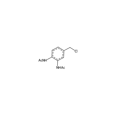 CC(=O)Nc1ccc(CCl)cc1NC(C)=O